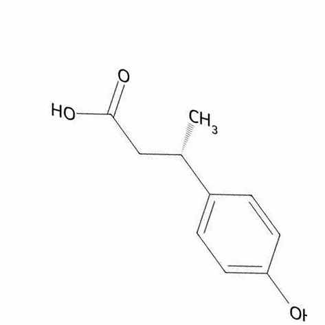 C[C@@H](CC(=O)O)c1ccc(O)cc1